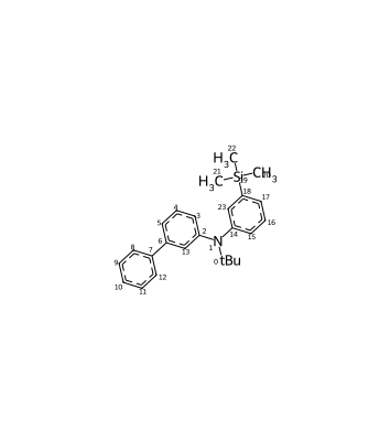 CC(C)(C)N(c1cccc(-c2ccccc2)c1)c1cccc([Si](C)(C)C)c1